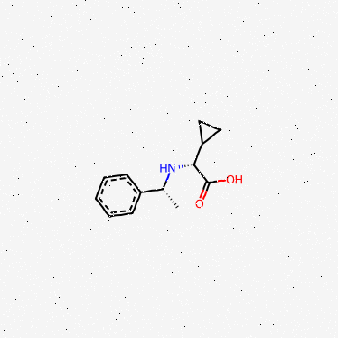 C[C@@H](N[C@@H](C(=O)O)C1CC1)c1ccccc1